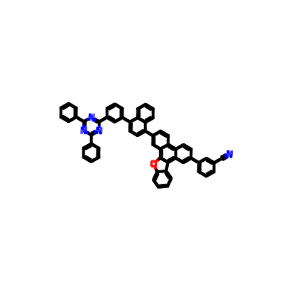 N#Cc1cccc(-c2ccc3c4ccc(-c5ccc(-c6cccc(-c7nc(-c8ccccc8)nc(-c8ccccc8)n7)c6)c6ccccc56)cc4c4oc5ccccc5c4c3c2)c1